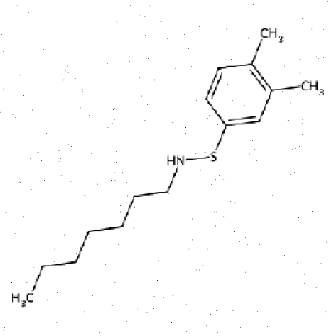 CCCCCCCNSc1ccc(C)c(C)c1